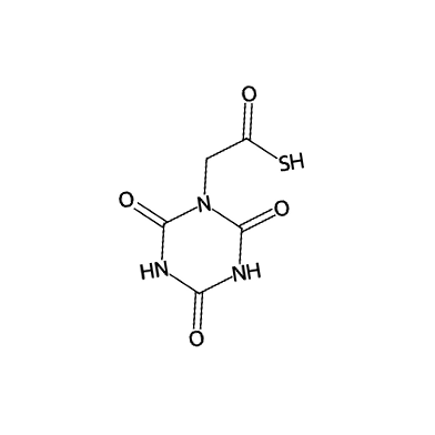 O=C(S)Cn1c(=O)[nH]c(=O)[nH]c1=O